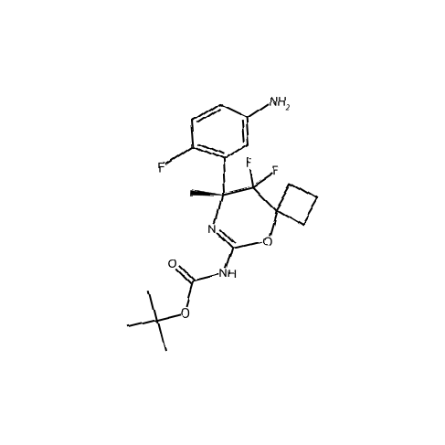 CC(C)(C)OC(=O)NC1=N[C@](C)(c2cc(N)ccc2F)C(F)(F)C2(CCC2)O1